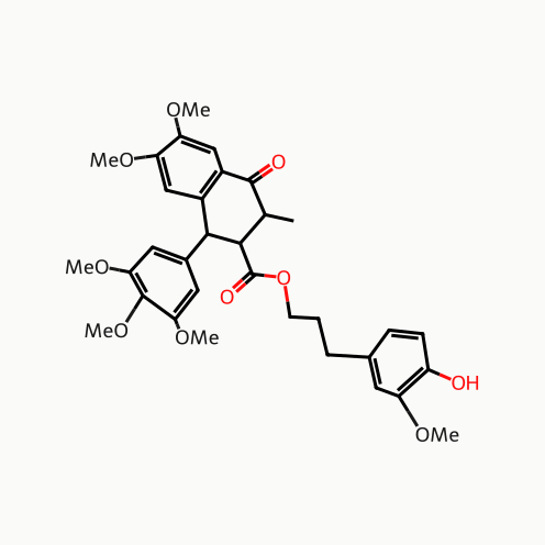 COc1cc(CCCOC(=O)C2C(C)C(=O)c3cc(OC)c(OC)cc3C2c2cc(OC)c(OC)c(OC)c2)ccc1O